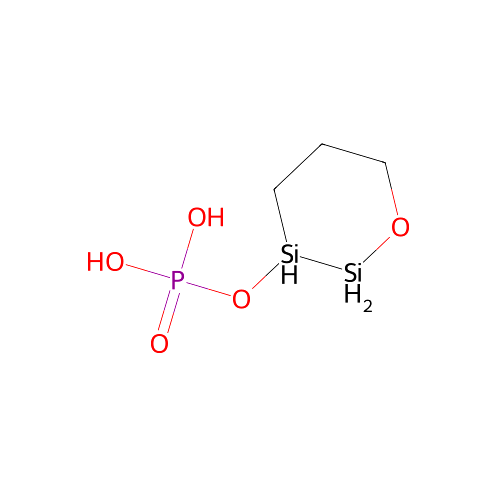 O=P(O)(O)O[SiH]1CCCO[SiH2]1